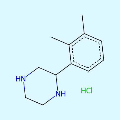 Cc1cccc(C2CNCCN2)c1C.Cl